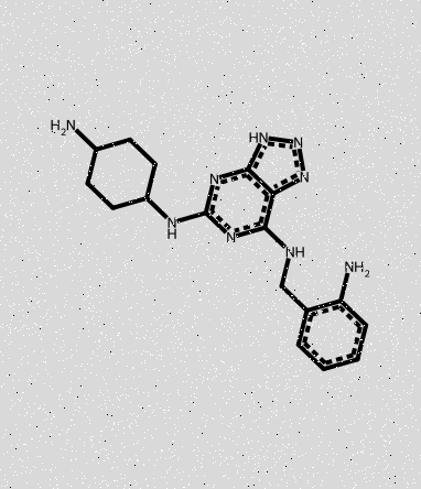 Nc1ccccc1CNc1nc(NC2CCC(N)CC2)nc2[nH]nnc12